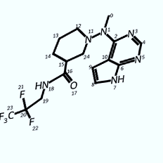 CN(c1ncnc2[nH]ccc12)N1CCCC(C(=O)NCC(F)(F)C(F)(F)F)C1